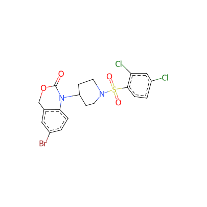 O=C1OCc2cc(Br)ccc2N1C1CCN(S(=O)(=O)c2ccc(Cl)cc2Cl)CC1